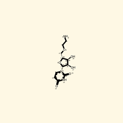 NCCOC[C@H]1O[C@@H](n2ccc(=O)[nH]c2=O)[C@H](O)[C@@H]1O